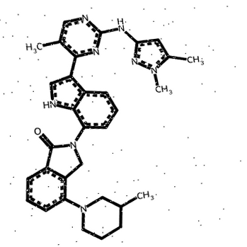 Cc1cnc(Nc2cc(C)n(C)n2)nc1-c1c[nH]c2c(N3Cc4c(cccc4N4CCCC(C)C4)C3=O)cccc12